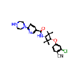 CC1(C)[C@H](NC(=O)c2ccc(N3CCNCC3)nc2)C(C)(C)[C@H]1Oc1ccc(C#N)c(Cl)c1